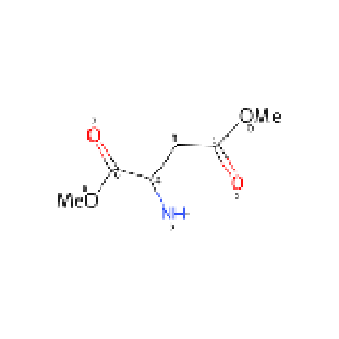 COC(=O)CC([NH])C(=O)OC